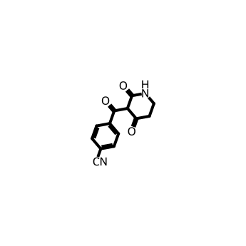 N#Cc1ccc(C(=O)C2C(=O)CCNC2=O)cc1